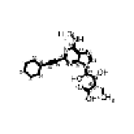 CC[C@H](C(=O)O)[C@@H](O)[C@@H](O)n1cnc2c(NC)nc(C#CC3CCCCC3)nc21